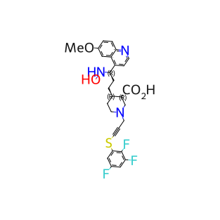 COc1ccc2nccc([C@@H](CC[C@@H]3CCN(CC#CSc4cc(F)cc(F)c4F)C[C@@H]3C(=O)O)NO)c2c1